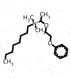 CCCCCCCC[N+](C)(C)C(C)OCCOc1ccccc1